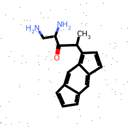 CC(C(=O)C(N)CN)C1=c2cc3c(cc2C=C1)=CC=C3